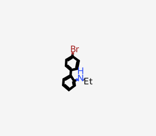 [CH2]CNc1ccccc1-c1ccc(Br)cc1